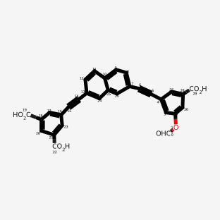 O=COc1cc(C#Cc2ccc3ccc(C#Cc4cc(C(=O)O)cc(C(=O)O)c4)cc3c2)cc(C(=O)O)c1